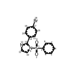 O=S(=O)(c1ccccc1)n1c[c]nc1-c1ccc(Br)cc1